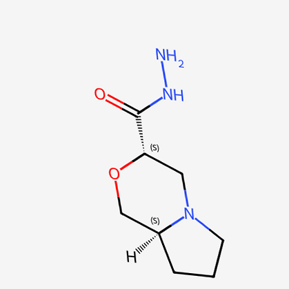 NNC(=O)[C@@H]1CN2CCC[C@H]2CO1